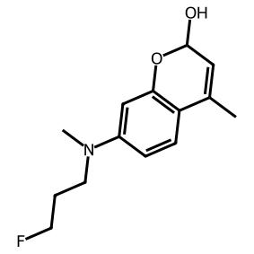 CC1=CC(O)Oc2cc(N(C)CCCF)ccc21